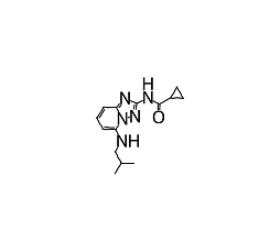 CC(C)CNc1cccc2nc(NC(=O)C3CC3)nn12